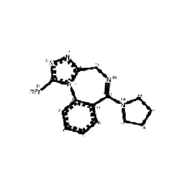 CCCc1nnc2n1-c1ccccc1C(N1CCCC1)=NC2